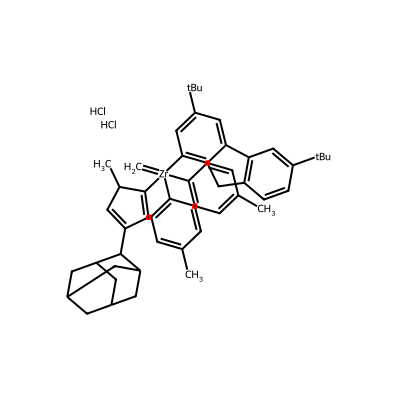 Cl.Cl.[CH2]=[Zr]([C]1=CC(C2C3CC4CC(C3)CC2C4)=CC1C)([c]1ccc(C)cc1)([c]1ccc(C)cc1)[c]1cc(C(C)(C)C)cc2c1Cc1ccc(C(C)(C)C)cc1-2